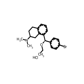 CCO[C@H](c1ccc(Br)cc1)c1cccc2c1CC(N(C)C)CC2.Cl